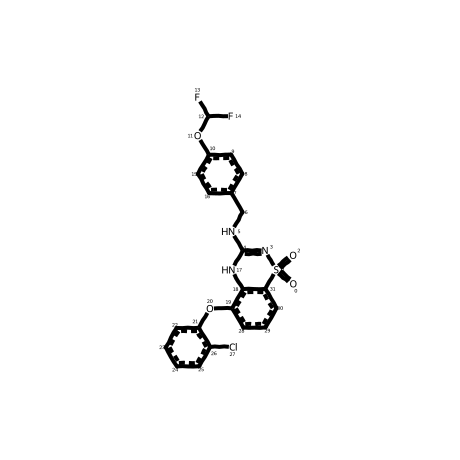 O=S1(=O)N=C(NCc2ccc(OC(F)F)cc2)Nc2c(Oc3ccccc3Cl)cccc21